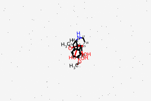 COC1=C2[C@H]3Cc4ccc(OC)c(O)c4[C@@]2(CCN3)CC(O)C1O